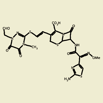 CON=C(C(=O)NC1C(=O)N2C(C(=O)O)=C(C=CSc3nn(CC=O)c(=O)c(=O)n3C)CSC12)c1csc(N)n1